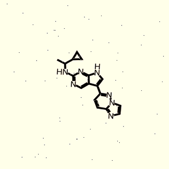 CC(Nc1ncc2c(-c3ccc4nccn4n3)c[nH]c2n1)C1CC1